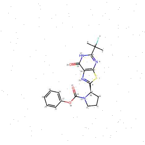 CC(C)(F)c1nc2sc([C@H]3CCCN3C(=O)Oc3ccccc3)nc2c(=O)[nH]1